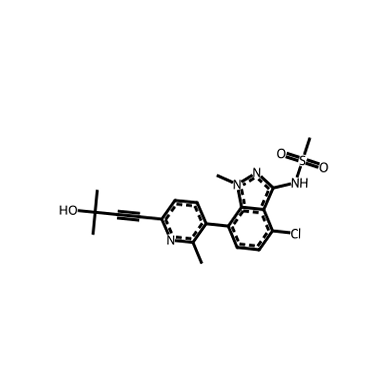 Cc1nc(C#CC(C)(C)O)ccc1-c1ccc(Cl)c2c(NS(C)(=O)=O)nn(C)c12